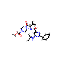 CCOC(=O)N1CCN(C(=O)[C@@H](NC(=O)c2cc(NC(C)C)nc(-c3ccccc3)n2)C(C)C)CC1